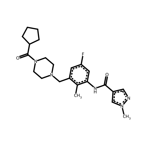 Cc1c(CN2CCN(C(=O)C3CCCC3)CC2)cc(F)cc1NC(=O)c1cnn(C)c1